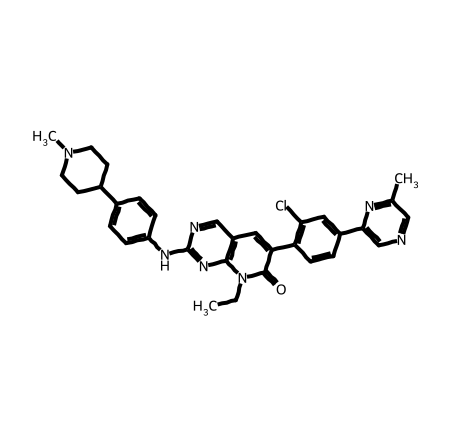 CCn1c(=O)c(-c2ccc(-c3cncc(C)n3)cc2Cl)cc2cnc(Nc3ccc(C4CCN(C)CC4)cc3)nc21